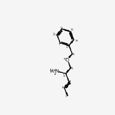 CC=CC(N)COCc1ccccc1